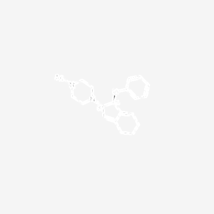 CC(=O)N1CCN([C@H]2C=C3CCCC=C3[C@@H]2Oc2ccccc2)CC1